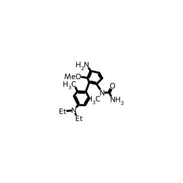 CCN(CC)c1ccc(-c2c(N(C)C(N)=O)ccc(N)c2OC)c(C)c1